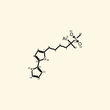 CC(=O)C(C)(CCCCc1ccc(-c2cccs2)s1)S(C)(=O)=O